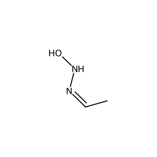 C/C=N\NO